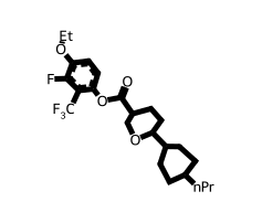 CCCC1CCC(C2CCC(C(=O)Oc3ccc(OCC)c(F)c3C(F)(F)F)CO2)CC1